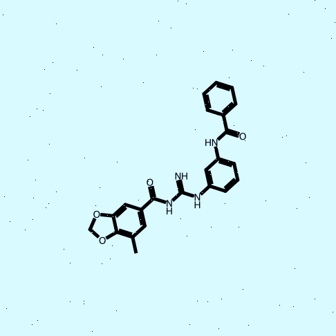 Cc1cc(C(=O)NC(=N)Nc2cccc(NC(=O)c3ccccc3)c2)cc2c1OCO2